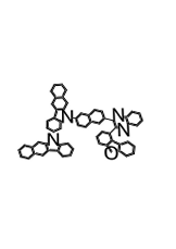 c1ccc2cc3c(cc2c1)c1ccccc1n3-c1ccc2c3cc4ccccc4cc3n(-c3ccc4cc(-c5nc6ccccc6nc5-c5cccc6oc7ccccc7c56)ccc4c3)c2c1